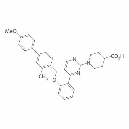 COc1ccc(-c2ccc(COc3ccccc3-c3ccnc(N4CCC(C(=O)O)CC4)n3)c(C)c2)cc1